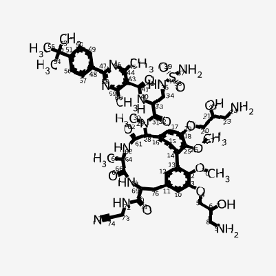 COc1c(OCC(O)CN)cc2cc1-c1cc(cc(OCC(O)CN)c1OC)C(N(C)C(=O)C(CNS(N)(=O)=O)NC(=O)c1c(C)nc(-c3ccc(C(C)(C)C)cc3)nc1C)C(=O)NC(C)C(=O)NC(C(=O)NCC#N)C2